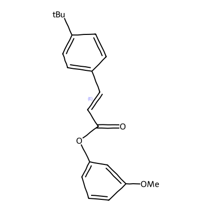 COc1cccc(OC(=O)/C=C/c2ccc(C(C)(C)C)cc2)c1